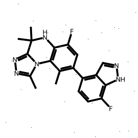 Cc1c(-c2ccc(F)c3[nH]ncc23)cc(F)c2c1-n1c(C)nnc1C(C)(C)N2